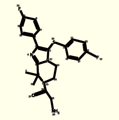 CC1(C)c2nc(-c3ccc(F)cc3)c(Sc3ccc(F)cc3)n2CCN1C(=O)CN